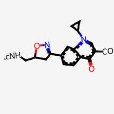 CC(=O)NCC1CC(c2ccc3c(=O)c(C(=O)O)cn(C4CC4)c3c2)=NO1